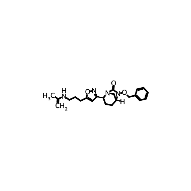 C=C(C)NCCCc1cc([C@@H]2CC[C@@H]3CN2C(=O)N3OCc2ccccc2)no1